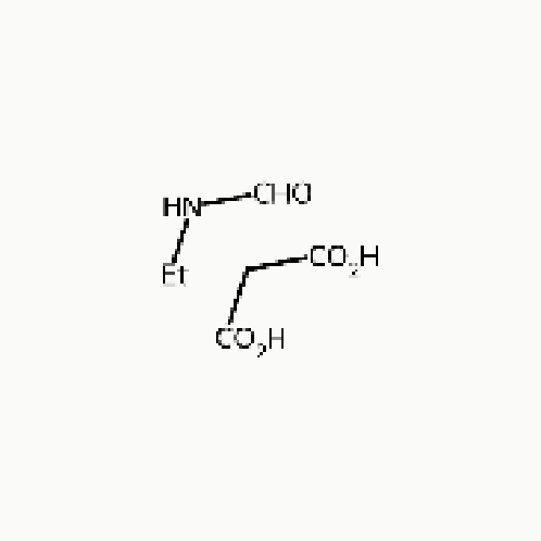 CCNC=O.O=C(O)CC(=O)O